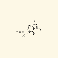 CCn1nc(Br)c2ncn(CC(=O)OC(C)(C)C)c(=O)c21